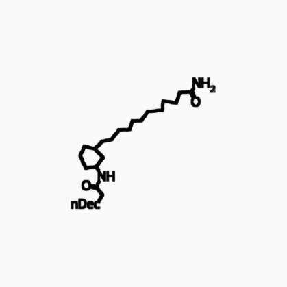 CCCCCCCCCCCC(=O)NC1CCCC(CCCCCCCCCCCC(N)=O)C1